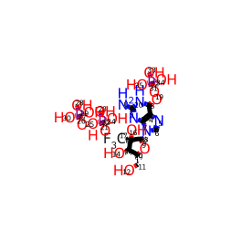 Nc1nc2c(ncn2[C@@H]2O[C@H](CO)[C@@H](O)[C@@]2(O)C(F)(F)F)c(=O)[nH]1.O=P(O)(O)O.O=P(O)(O)O.O=P(O)(O)O